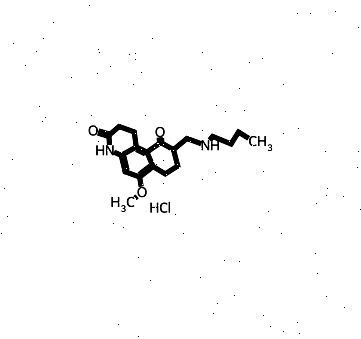 CCCCNCC1CCc2c(OC)cc3c(c2C1=O)CCC(=O)N3.Cl